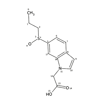 CCC[S+]([O-])c1ccc2ccn(CC(=O)O)c2c1